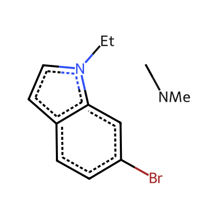 CCn1ccc2ccc(Br)cc21.CNC